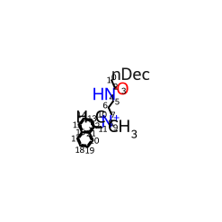 CCCCCCCCCCCC(=O)NCCC[N+](C)(C)Cc1cccc2ccccc12